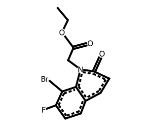 CCOC(=O)Cn1c(=O)ccc2ccc(F)c(Br)c21